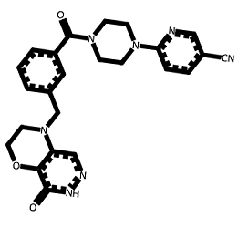 N#Cc1ccc(N2CCN(C(=O)c3cccc(CN4CCOc5c4cn[nH]c5=O)c3)CC2)nc1